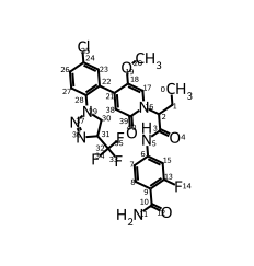 CCC(C(=O)Nc1ccc(C(N)=O)c(F)c1)n1cc(OC)c(-c2cc(Cl)ccc2N2CC(C(F)(F)F)N=N2)cc1=O